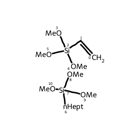 C=C[Si](OC)(OC)OC.CCCCCCC[Si](OC)(OC)OC